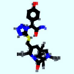 NC(=O)C(c1ccc(O)cc1)n1nnnc1SCC1=C(C(=O)O)N2C(=O)[C@@H]3[C@H]2[C@H](C1)CN3C(=O)O